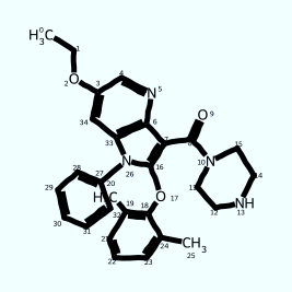 CCOc1cnc2c(C(=O)N3CCNCC3)c(Oc3c(C)cccc3C)n(-c3ccccc3)c2c1